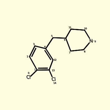 Clc1ccc(CC2CC[N]CC2)cc1Cl